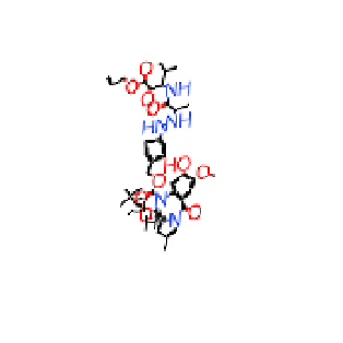 C=CCOC(=O)C(=O)C(NC(=O)C(C)NNc1ccc(COC(=O)N2c3cc(O)c(OC)cc3C(=O)N3C=C(C)C[C@H]3[C@@H]2O[Si](C)(C)C(C)(C)C)cc1)C(C)C